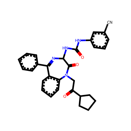 N#Cc1cccc(NC(=O)NC2N=C(c3ccccc3)c3ccccc3N(CC(=O)C3CCCC3)C2=O)c1